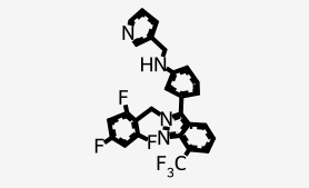 Fc1cc(F)c(Cn2nc3c(C(F)(F)F)cccc3c2-c2cccc(NCc3cccnc3)c2)c(F)c1